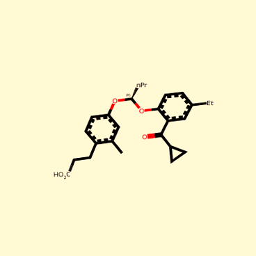 CCC[C@H](Oc1ccc(CCC(=O)O)c(C)c1)Oc1ccc(CC)cc1C(=O)C1CC1